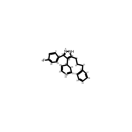 Fc1ccc(-c2n[nH]c(CCCc3ccccc3)c2C2C=CN=CC2)cc1